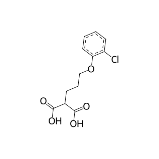 O=C(O)C(CCCOc1ccccc1Cl)C(=O)O